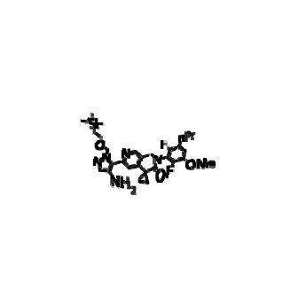 CCCc1cc(OC)c(F)c(N2Cc3cnc(-c4c(N)cnn4COCC[Si](C)(C)C)cc3C3(CC3)C2=O)c1F